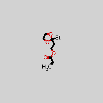 C=CC(=O)OCCC1(CC)OCCO1